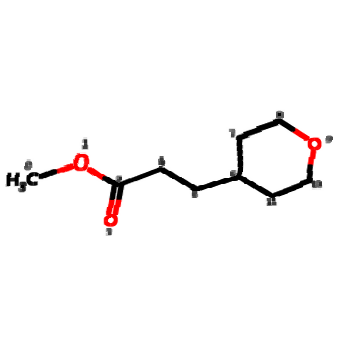 COC(=O)CCC1CCOCC1